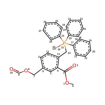 COC(=O)c1cc(COC=O)ccc1CP(Br)(c1ccccc1)(c1ccccc1)c1ccccc1